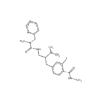 CNC(=O)c1ccc(CC(CNC(=O)N(C)Cc2ccccn2)N(C)C)cc1F